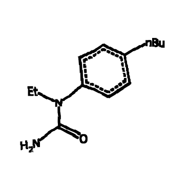 CCCCc1ccc(N(CC)C(N)=O)cc1